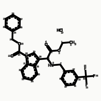 CCOC(=O)C(NCc1cccc(C(F)(F)F)c1)c1cn(C(=O)OCc2ccccc2)c2ccccc12.Cl